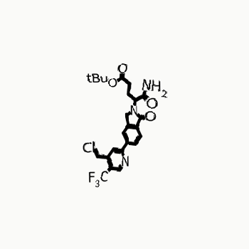 CC(C)(C)OC(=O)CCC(C(N)=O)N1Cc2cc(-c3cc(CCl)c(C(F)(F)F)cn3)ccc2C1=O